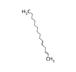 [CH2]CCCCCCCCC=CCC=CC